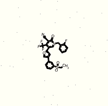 CCS(=O)(=O)c1cccc(-c2coc(-c3cn(Cc4ccccc4F)c(=O)c(C#N)c3C(F)(F)F)c2)c1